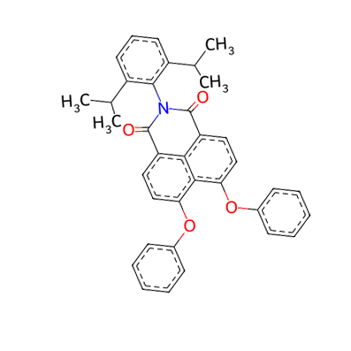 CC(C)c1cccc(C(C)C)c1N1C(=O)c2ccc(Oc3ccccc3)c3c(Oc4ccccc4)ccc(c23)C1=O